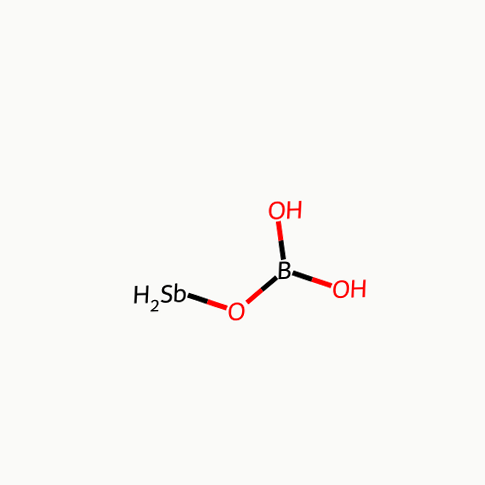 OB(O)[O][SbH2]